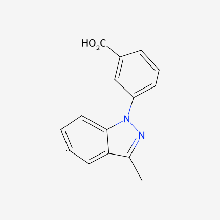 Cc1nn(-c2cccc(C(=O)O)c2)c2cc[c]cc12